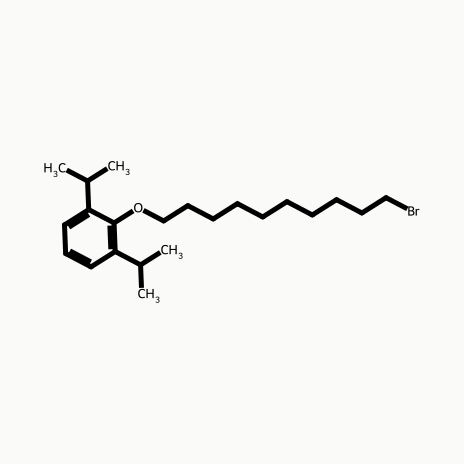 CC(C)c1cccc(C(C)C)c1OCCCCCCCCCCBr